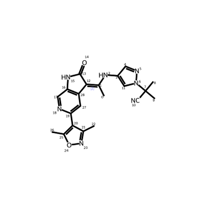 C/C(Nc1cnn(C(C)(C)C#N)c1)=C1/C(=O)Nc2cnc(-c3c(C)noc3C)cc21